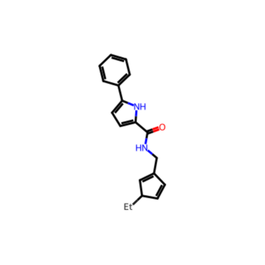 CCC1C=CC(CNC(=O)c2ccc(-c3ccccc3)[nH]2)=C1